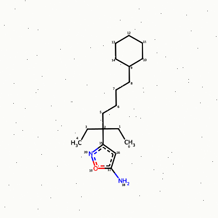 CCC(CC)(CCCCC1CCCCC1)c1cc(N)on1